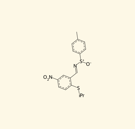 Cc1ccc([S+]([O-])N=Cc2cc([N+](=O)[O-])ccc2SC(C)C)cc1